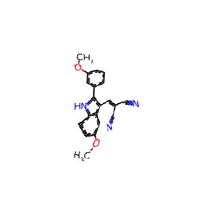 COc1cccc(-c2[nH]c3ccc(OC)cc3c2C=C(C#N)C#N)c1